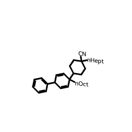 CCCCCCCCC1(C2CCC(C#N)(CCCCCCC)CC2)C=CC(c2ccccc2)C=C1